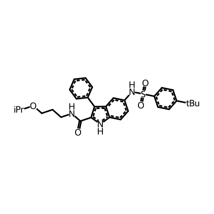 CC(C)OCCCNC(=O)c1[nH]c2ccc(NS(=O)(=O)c3ccc(C(C)(C)C)cc3)cc2c1-c1ccccc1